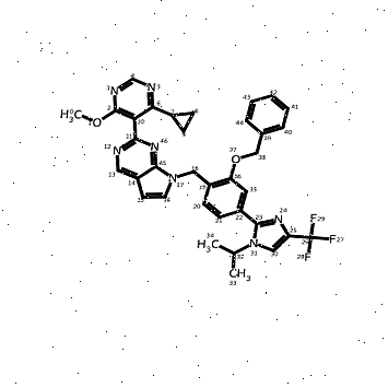 COc1ncnc(C2CC2)c1-c1ncc2ccn(Cc3ccc(-c4nc(C(F)(F)F)cn4C(C)C)cc3OCc3ccccc3)c2n1